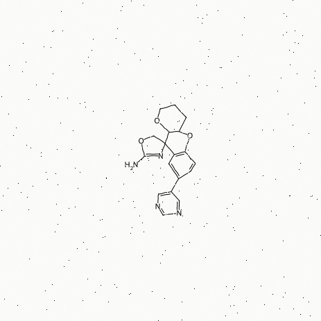 NC1=NC2(CO1)c1cc(-c3cncnc3)ccc1OC1CCCOC12